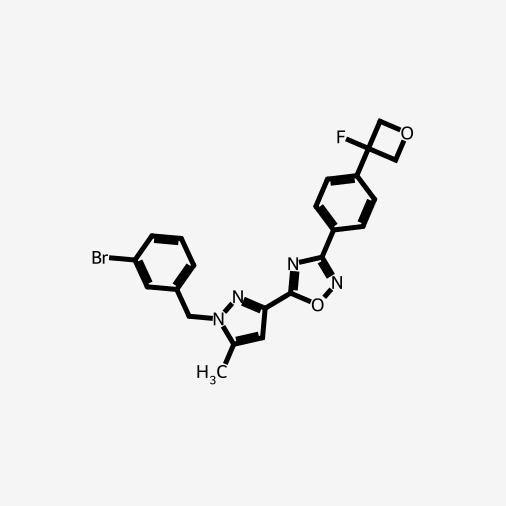 Cc1cc(-c2nc(-c3ccc(C4(F)COC4)cc3)no2)nn1Cc1cccc(Br)c1